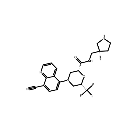 N#Cc1ccc(N2C[C@@H](C(F)(F)F)O[C@@H](C(=O)NC[C@]3(F)CCNC3)C2)c2cccnc12